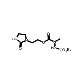 CCOC(=O)NN(C)C(=O)OCCN1CCNC1=O